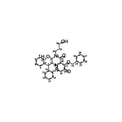 CC1C(C(c2ccccc2)c2ccccc2)n2ncc(=O)c(OCc3ccccc3)c2C(=O)N1CCCO